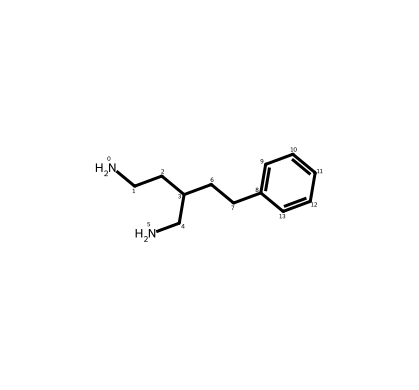 NCCC(CN)CCc1ccccc1